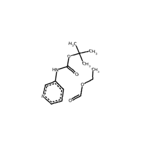 CC(C)(C)OC(=O)Nc1cccnc1.CCOC=O